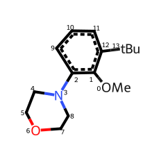 COc1c(N2CCOCC2)cccc1C(C)(C)C